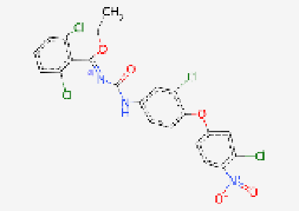 CCO/C(=N\C(=O)Nc1ccc(Oc2ccc([N+](=O)[O-])c(Cl)c2)c(Cl)c1)c1c(Cl)cccc1Cl